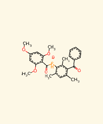 COc1cc(OC)c(C(=O)[PH](=O)c2c(C)cc(C)c(C(=O)c3ccccc3)c2C)c(OC)c1